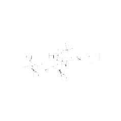 CC1(C)S[C@@H]2[C@H](COS(C)(=O)=O)C(=O)N2[C@H]1C(=O)O